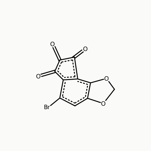 O=c1c(=O)c2c(Br)cc3c(c2c1=O)OCO3